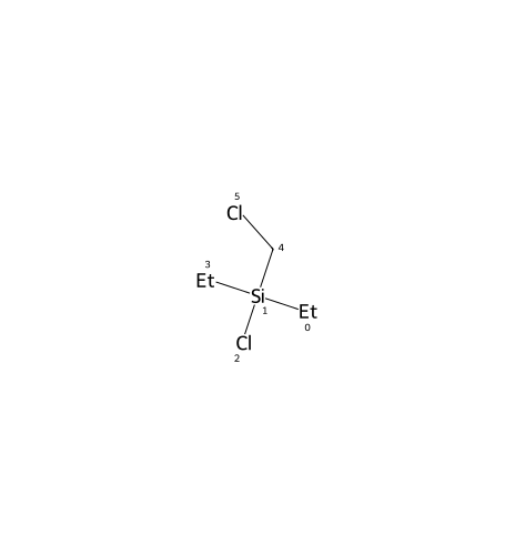 CC[Si](Cl)(CC)CCl